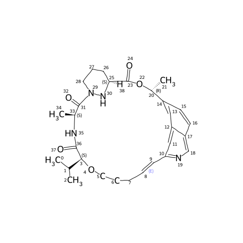 CC(C)[C@@H]1OCCC/C=C/c2cc3cc(ccc3cn2)[C@@H](C)OC(=O)[C@@H]2CCCN(N2)C(=O)[C@H](C)NC1=O